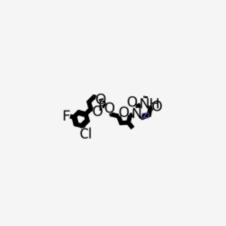 CNC(=O)N(/C=C\C=O)C1OC(COP2OCCC(c3cc(F)cc(Cl)c3)O2)CC1C